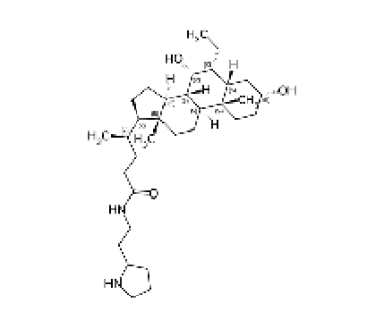 CC[C@H]1[C@@H](O)[C@@H]2[C@H](CC[C@]3(C)[C@@H]([C@H](C)CCC(=O)NCCC4CCCN4)CC[C@@H]23)[C@@]2(C)CC[C@@H](O)C[C@@H]12